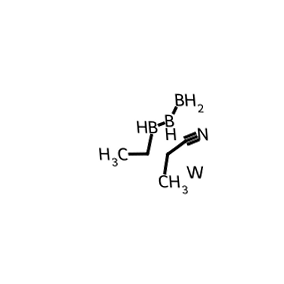 BBBCC.CCC#N.[W]